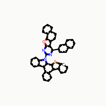 c1ccc2cc(-c3nc(-n4c5ccccc5c5c6ccccc6c6c7ccccc7sc6c54)nc4oc5c6ccccc6ccc5c34)ccc2c1